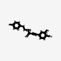 Cc1ccc(CCNC(=O)C#Cc2ccc(F)c(C)c2)cc1